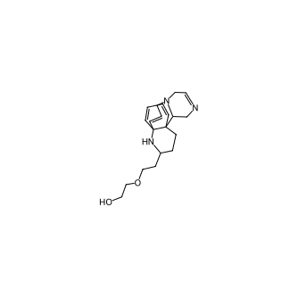 OCCOCCC1CCC23C=CC=CC2(C=CCN2CC=NCC23)N1